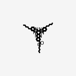 CCCCCOC(=O)c1ccc2nc3c4nc5cc(CCCCC)ccc5nc4c4nc5cc(CCCCC)ccc5nc4c3nc2c1